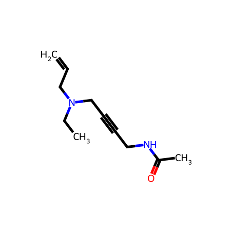 C=CCN(CC)CC#CCNC(C)=O